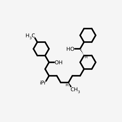 CC1CCC(C(O)CC(CC[C@H](C)CCC2CCC[C@@H](C(O)C3CCCCC3)C2)C(C)C)CC1